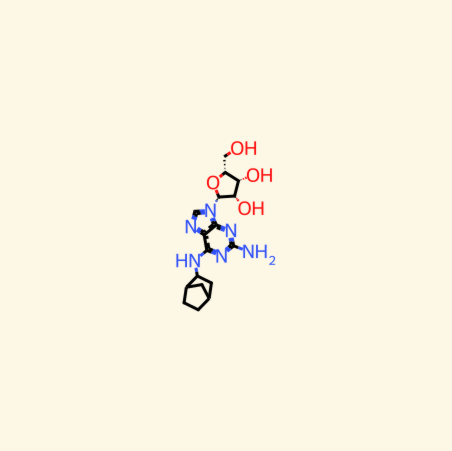 Nc1nc(NC2CC3CCC2C3)c2ncn([C@@H]3O[C@H](CO)[C@H](O)[C@@H]3O)c2n1